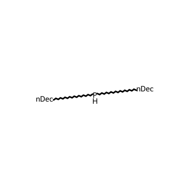 CCCCCCCCCCCCCCCCCCCCCCCCCCCCPCCCCCCCCCCCCCCCCCCCCCCCCCCCC